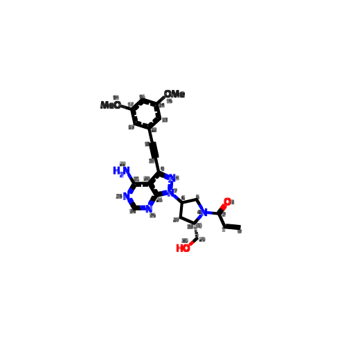 C=CC(=O)N1CC(n2nc(C#Cc3cc(OC)cc(OC)c3)c3c(N)ncnc32)C[C@H]1CO